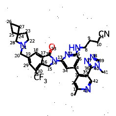 Cc1cc(-c2cc(NCCCC#N)nc(N3Cc4c(cc(CN5CCC6(CCC6)C5)cc4C(F)(F)F)C3=O)c2)c(-c2nncn2C)cn1